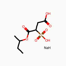 CCC(C)OC(=O)C(CC(=O)O)S(=O)(=O)O.[NaH]